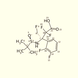 CC(C)(C)[S@@+]([O-])N[C@](CF)(c1cccc(F)c1F)C(F)(F)C(=O)O